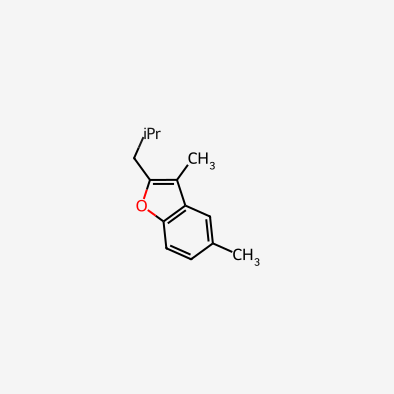 Cc1ccc2oc(CC(C)C)c(C)c2c1